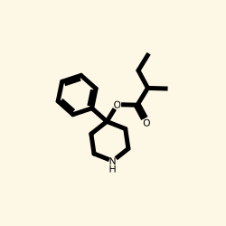 CCC(C)C(=O)OC1(c2ccccc2)CCNCC1